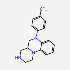 FC(F)(F)c1ccc(N2CC3CNCCN3c3ccccc32)cc1